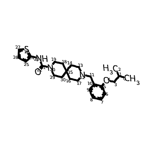 CC(C)COc1ccccc1CN1CCC2(CC1)CCN(C(=O)Nc1cccs1)CC2